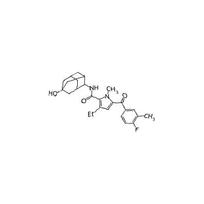 CCc1cc(C(=O)c2ccc(F)c(C)c2)n(C)c1C(=O)NC1C2CC3CC1CC(O)(C3)C2